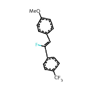 COc1ccc(C=C(F)c2ccc(C(F)(F)F)cc2)cc1